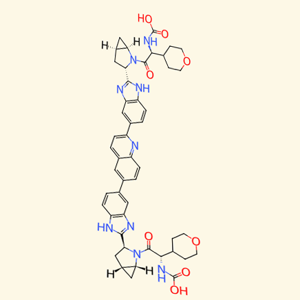 O=C(O)N[C@H](C(=O)N1[C@@H]2C[C@@H]2C[C@H]1c1nc2cc(-c3ccc4nc(-c5ccc6[nH]c([C@@H]7C[C@H]8C[C@H]8N7C(=O)[C@@H](NC(=O)O)C7CCOCC7)nc6c5)ccc4c3)ccc2[nH]1)C1CCOCC1